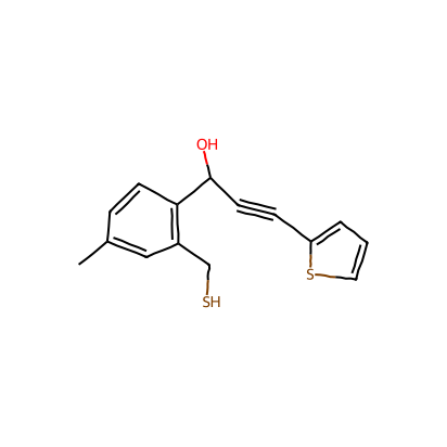 Cc1ccc(C(O)C#Cc2cccs2)c(CS)c1